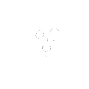 CC[C@@]1(C(c2ccc(O)cc2)c2ccc(O)cc2)C=CC=CC1